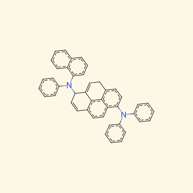 C1=CC(N(c2ccccc2)c2cccc3ccccc23)C2=CCc3ccc(N(c4ccccc4)c4ccccc4)c4ccc1c2c34